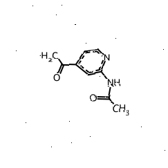 [CH2]C(=O)c1ccnc(NC(C)=O)c1